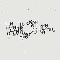 Nc1nc2c(nnn2[C@@H]2S[C@@H]3COP(=O)(O)O[C@H]4C[C@H](c5cnc6c(N)ncnn56)OC4COP(=O)(S)O[C@@H]2[C@@H]3O)c(=O)[nH]1